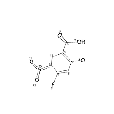 O=C(O)C1=C(Cl)C=C(F)C(=S(=O)=O)C1